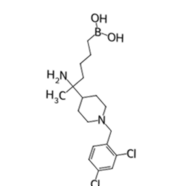 CC(N)(CCCCB(O)O)C1CCN(Cc2ccc(Cl)cc2Cl)CC1